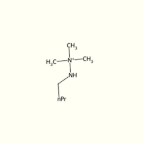 CCCCN[N+](C)(C)C